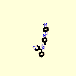 CN(C)c1ccc(/N=N/c2ccc(/C=N/N=C(/c3ccccc3)c3cc[n+](C)cc3)cc2)cc1